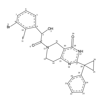 O=C(C(O)c1cccc(Br)c1F)N1CCc2nc(C3(c4ccccc4)CC3)[nH]c(=O)c2C1